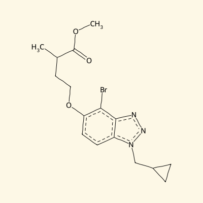 COC(=O)C(C)CCOc1ccc2c(nnn2CC2CC2)c1Br